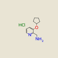 Cl.NCc1ncccc1OC1CCCC1